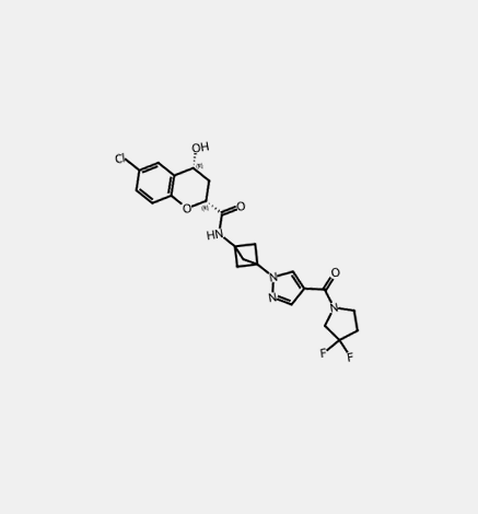 O=C(NC12CC(n3cc(C(=O)N4CCC(F)(F)C4)cn3)(C1)C2)[C@H]1C[C@@H](O)c2cc(Cl)ccc2O1